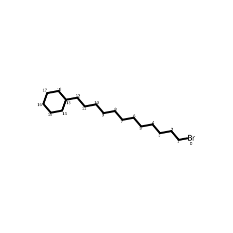 BrCCCCCCCCCCCCC1CCCCC1